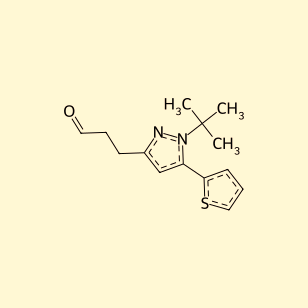 CC(C)(C)n1nc(CCC=O)cc1-c1cccs1